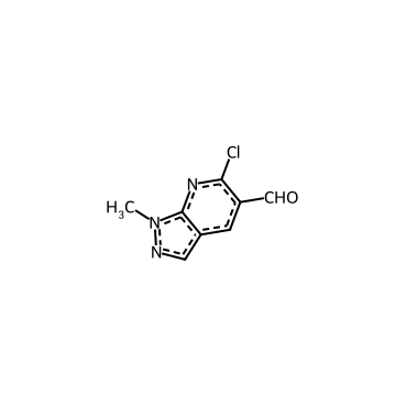 Cn1ncc2cc(C=O)c(Cl)nc21